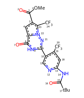 COC(=O)c1cc2c(=O)[nH]c(-c3cnc(NC(=O)C(C)(C)C)cc3C(F)(F)F)nn2c1C(F)(F)F